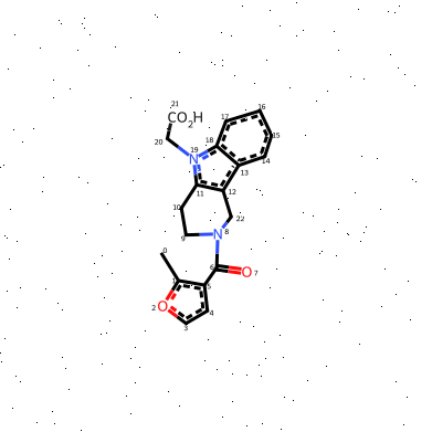 Cc1occc1C(=O)N1CCc2c(c3ccccc3n2CC(=O)O)C1